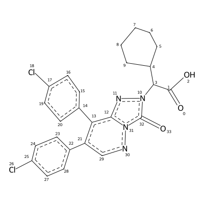 O=C(O)C(C1CCCCC1)n1nc2c(-c3ccc(Cl)cc3)c(-c3ccc(Cl)cc3)cnn2c1=O